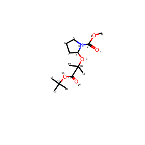 COC(=O)N1CCC[C@@H]1OC(C)(C)C(=O)OC(C)(C)C